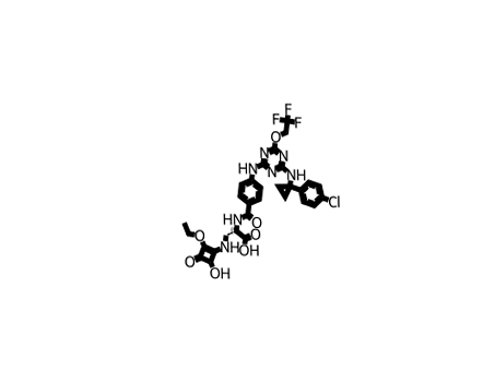 CCOC1=C(NC[C@H](NC(=O)c2ccc(Nc3nc(NC4(c5ccc(Cl)cc5)CC4)nc(OCC(F)(F)F)n3)cc2)C(=O)O)C(O)C1=O